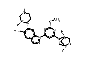 COc1nc(N2C[C@H]3C[C@@H]2CO3)cc(-n2ncc3cc(C)c([C@H]4CCNC[C@H]4F)cc32)n1